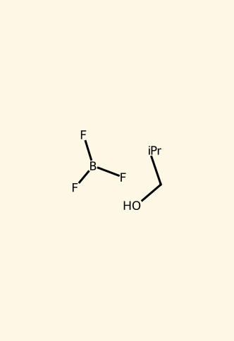 CC(C)CO.FB(F)F